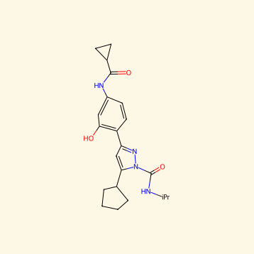 CC(C)NC(=O)n1nc(-c2ccc(NC(=O)C3CC3)cc2O)cc1C1CCCC1